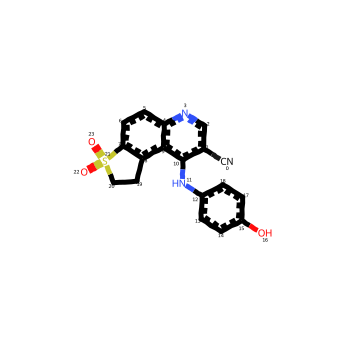 N#Cc1cnc2ccc3c(c2c1Nc1ccc(O)cc1)CCS3(=O)=O